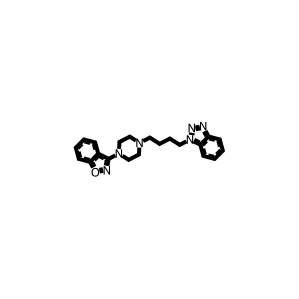 c1ccc2c(c1)nnn2CCCCN1CCN(c2noc3ccccc23)CC1